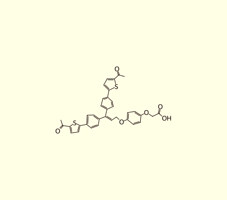 CC(=O)c1ccc(-c2ccc(C(=CCOc3ccc(OCC(=O)O)cc3)c3ccc(-c4ccc(C(C)=O)s4)cc3)cc2)s1